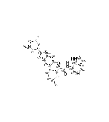 C[C@@H]1C[C@@H](c2nc3cc([C@H]4CC[C@H](C)CN4C(=O)C(=O)Nc4cncc5cn[nH]c45)ccc3s2)CN(C)C1